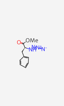 COC(=O)[C@H](Cc1ccccc1)NN=[N+]=[N-]